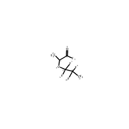 O=C(F)C(OC(F)(F)C(F)(F)C(F)(F)F)C(F)(F)F